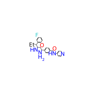 CC[C@H](C(=N)C(=O)[C@H](N)c1ccc(C(=O)Nc2ccncc2)cc1)c1cccc(F)c1